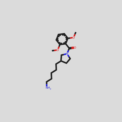 COc1cccc(OC)c1C(=O)N1CCC(CCCCCN)C1